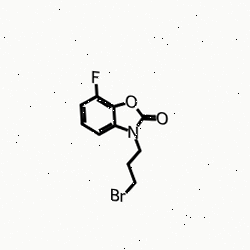 O=c1oc2c(F)cccc2n1CCCBr